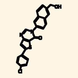 O=c1c2sc(-c3ccc(Cl)cc3)cc2ncn1-c1ccc2cc(CO)ccc2c1